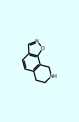 c1cc2cnoc2c2c1CCNC2